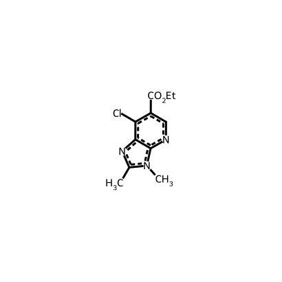 CCOC(=O)c1cnc2c(nc(C)n2C)c1Cl